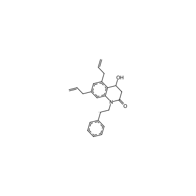 C=CCc1cc(CC=C)c2c(c1)N(C[CH]c1ccccc1)C(=O)CC2O